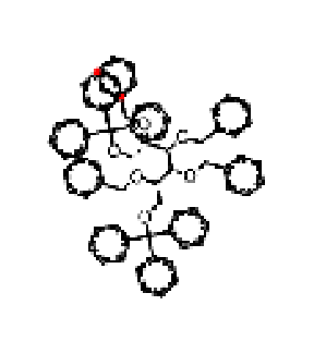 c1ccc(CO[C@@H]([C@H](OCc2ccccc2)[C@@H](COC(c2ccccc2)(c2ccccc2)c2ccccc2)OCc2ccccc2)[C@H](COC(c2ccccc2)(c2ccccc2)c2ccccc2)OCc2ccccc2)cc1